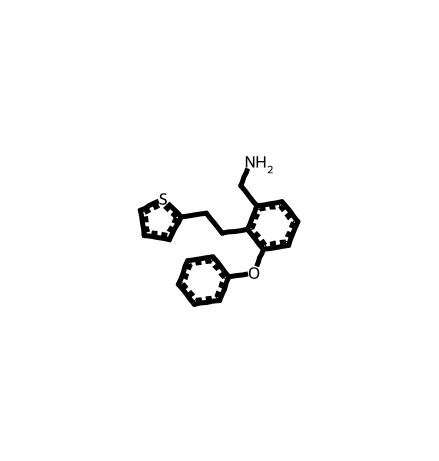 NCc1cccc(Oc2ccccc2)c1CCc1cccs1